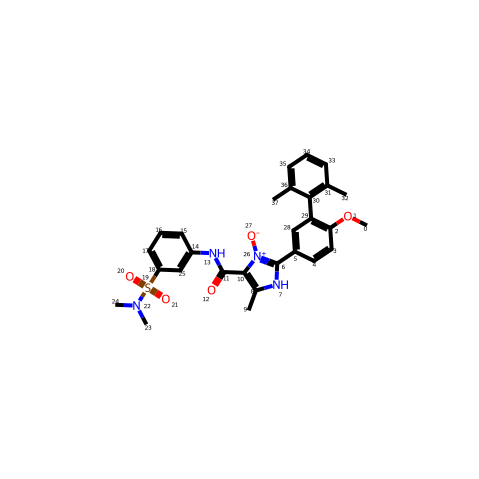 COc1ccc(-c2[nH]c(C)c(C(=O)Nc3cccc(S(=O)(=O)N(C)C)c3)[n+]2[O-])cc1-c1c(C)cccc1C